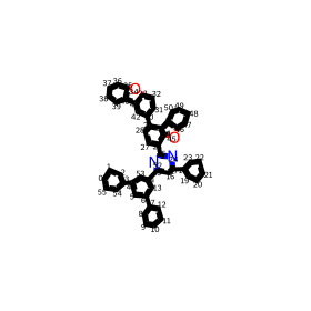 c1ccc(-c2cc(-c3ccccc3)cc(-c3cc(-c4ccccc4)nc(-c4ccc(-c5ccc6oc7ccccc7c6c5)c5c4oc4ccccc45)n3)c2)cc1